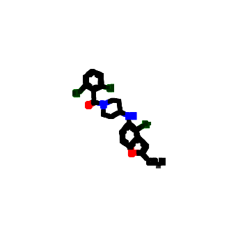 O=C(O)c1cc2c(Br)c(NC3CCN(C(=O)c4c(Cl)cccc4Cl)CC3)ccc2o1